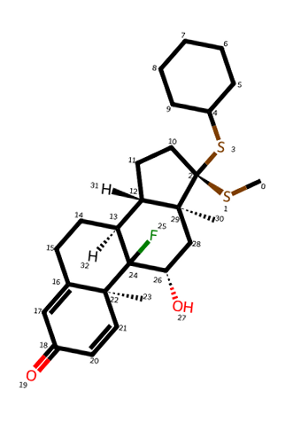 CS[C@]1(SC2CCCCC2)CC[C@H]2[C@@H]3CCC4=CC(=O)C=C[C@]4(C)C3(F)[C@@H](O)C[C@@]21C